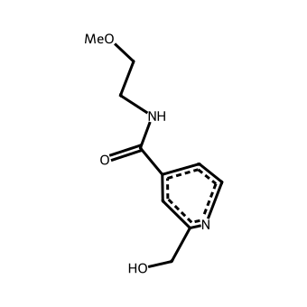 COCCNC(=O)c1ccnc(CO)c1